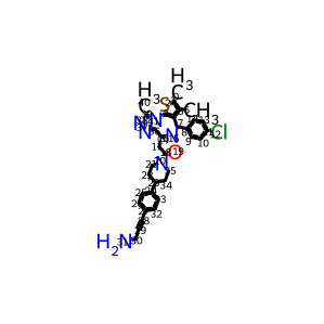 Cc1sc2c(c1C)C(c1ccc(Cl)cc1)=N[C@@H](CC(=O)N1CCC(c3ccc(C#CCN)cc3)CC1)c1nnc(C)n1-2